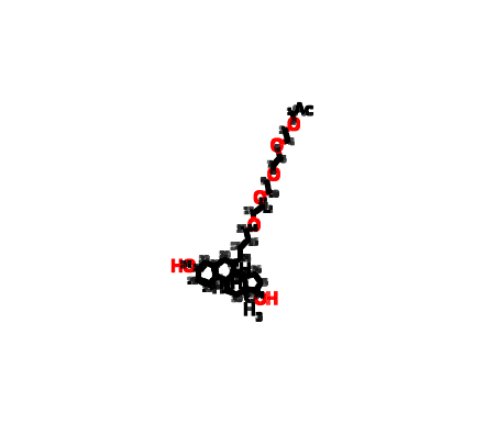 CC(=O)COCCOCCOCCOCCOCCCC[C@@H]1Cc2cc(O)ccc2[C@H]2CC[C@]3(C)[C@@H](O)CC[C@H]3[C@H]12